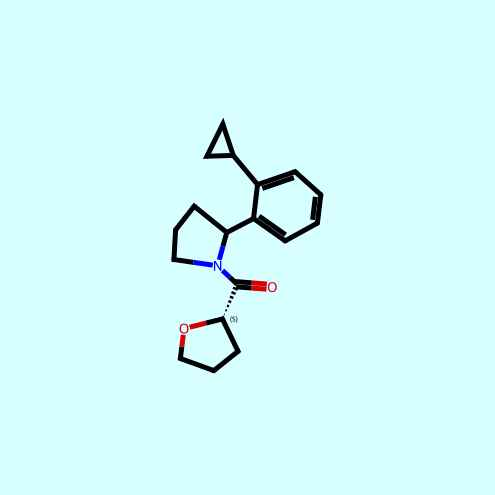 O=C([C@@H]1CCCO1)N1CCCC1c1ccccc1C1CC1